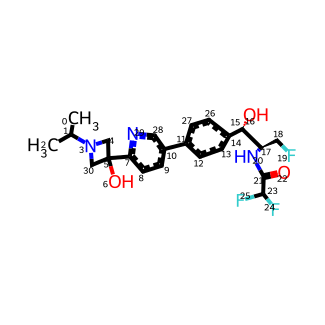 CC(C)N1CC(O)(c2ccc(-c3ccc([C@H](O)[C@@H](CF)NC(=O)C(F)F)cc3)cn2)C1